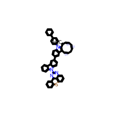 C=C1/C=C\C=C/C/C=C\c2c1n(-c1ccc(-c3ccccc3)cc1)c1ccc(-c3ccc4c(c3)c3ccccc3n4-c3nc4c5c(cccc5n3)Sc3ccccc3-4)cc21